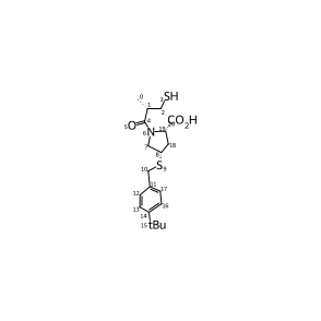 C[C@H](CS)C(=O)N1C[C@@H](SCc2ccc(C(C)(C)C)cc2)C[C@H]1C(=O)O